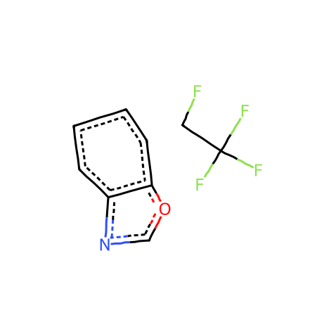 FCC(F)(F)F.c1ccc2ocnc2c1